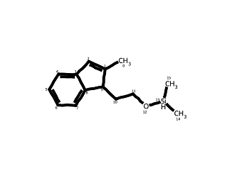 CC1=Cc2ccccc2C1CCO[SiH](C)C